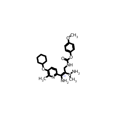 COc1ccc(OC(=O)NC/C(=C(/N)c2ccc(OC3CCCCC3)c(C)n2)N(C)N)cc1